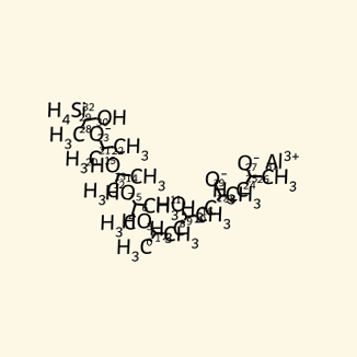 CC(C)O.CC(C)O.CC(C)O.CC(C)O.CC(C)[O-].CC(C)[O-].CC(C)[O-].CCO.[Al+3].[SiH4]